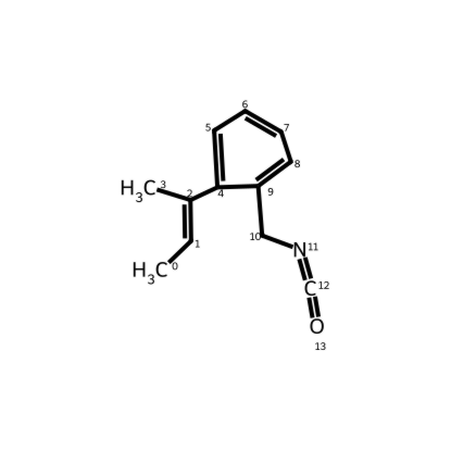 CC=C(C)c1ccccc1CN=C=O